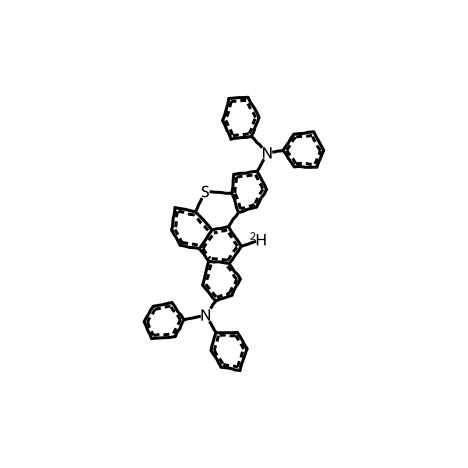 [2H]c1c2c3c(cccc3c3cc(N(c4ccccc4)c4ccccc4)ccc13)Sc1cc(N(c3ccccc3)c3ccccc3)ccc1-2